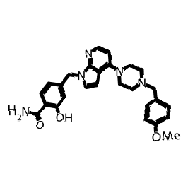 COc1ccc(CN2CCN(c3ccnc4c3ccn4Cc3ccc(C(N)=O)c(O)c3)CC2)cc1